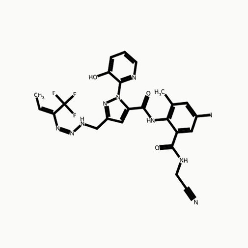 C/C=C(/N=N\NCc1cc(C(=O)Nc2c(C)cc(I)cc2C(=O)NCC#N)n(-c2ncccc2O)n1)C(F)(F)F